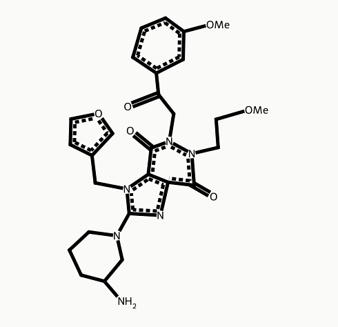 COCCn1c(=O)c2nc(N3CCCC(N)C3)n(Cc3ccoc3)c2c(=O)n1CC(=O)c1cccc(OC)c1